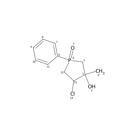 CC1(O)CP(=O)(c2ccccc2)CC1Cl